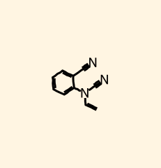 C=CN(C#N)c1ccccc1C#N